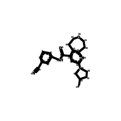 N#Cc1cccc(NC(=O)c2cc(N3CCC(F)C3)nc3c2CCOCC3)c1